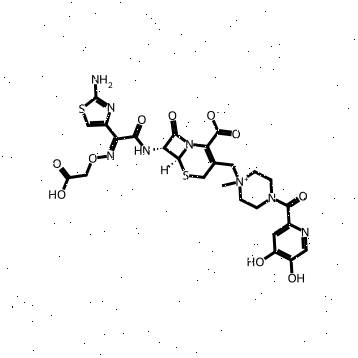 C[N+]1(CC2=C(C(=O)[O-])N3C(=O)[C@@H](NC(=O)C(=NOCC(=O)O)c4csc(N)n4)[C@@H]3SC2)CCN(C(=O)c2cc(O)c(O)cn2)CC1